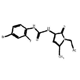 CC(=O)CN1C(=O)C(NC(=O)Nc2ccc(Br)cc2F)CC1C